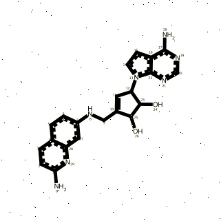 Nc1ccc2ccc(NCC3=CC(n4ccc5c(N)ncnc54)C(O)C3O)cc2n1